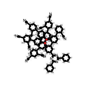 N#Cc1ccc(-c2ccc3c(c2)c2cc(-c4ccc(C#N)cc4C#N)ccc2n3-c2ccc(-c3nc(-c4ccccc4)nc(-c4ccccc4)n3)cc2-c2ccc(-c3ccccc3C#N)cc2-n2c3ccc(-c4ccc(C#N)cc4C#N)cc3c3cc(-c4ccc(C#N)cc4C#N)ccc32)c(C#N)c1